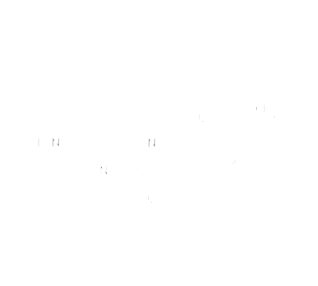 [CH2][C@H]1O[C@@H](n2cc(F)c(N)nc2=O)CS1